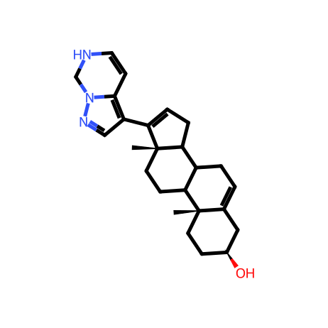 C[C@]12CC[C@H](O)CC1=CCC1C2CC[C@]2(C)C(c3cnn4c3C=CNC4)=CCC12